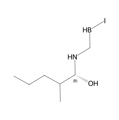 CCCC(C)[C@@H](O)NCBI